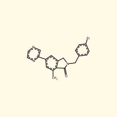 CCc1ccc(CN2Cc3cc(-c4cnccn4)cc(C)c3C2=O)cc1